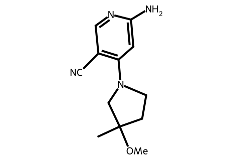 COC1(C)CCN(c2cc(N)ncc2C#N)C1